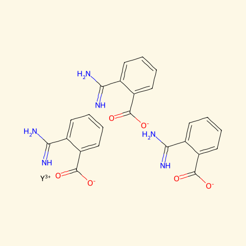 N=C(N)c1ccccc1C(=O)[O-].N=C(N)c1ccccc1C(=O)[O-].N=C(N)c1ccccc1C(=O)[O-].[Y+3]